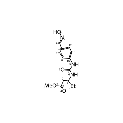 CCC(CC(=O)OC)NC(=O)Nc1ccc(C=NO)cc1